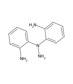 Nc1ccccc1N(N)c1ccccc1N